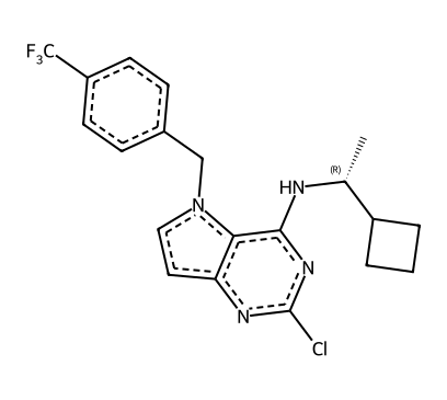 C[C@@H](Nc1nc(Cl)nc2ccn(Cc3ccc(C(F)(F)F)cc3)c12)C1CCC1